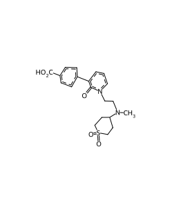 CN(CCn1cccc(-c2ccc(C(=O)O)cc2)c1=O)C1CCS(=O)(=O)CC1